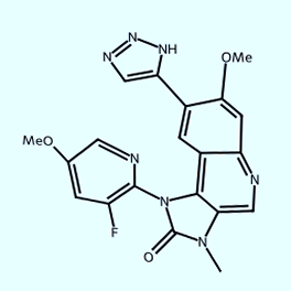 COc1cnc(-n2c(=O)n(C)c3cnc4cc(OC)c(-c5cnn[nH]5)cc4c32)c(F)c1